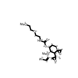 COCCOCCNC(=O)O[C@@H]1CC[C@]2(CO2)C([C@@]2(C)O[C@@H]2/C=C/C(C)C)[C@@H]1OC